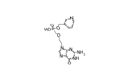 Nc1nc2c(ncn2CCOCP(=O)(O)OCc2cccnc2)c(=O)[nH]1